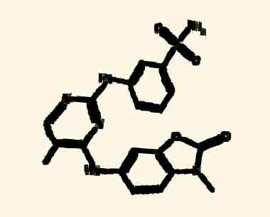 Cc1cnc(Nc2cccc(S(N)(=O)=O)c2)nc1Nc1ccc2c(c1)oc(=O)n2C